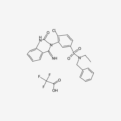 CCN(Cc1ccccc1)S(=O)(=O)c1ccc(Cl)c(-n2c(=O)[nH]c3ccccc3c2=N)c1.O=C(O)C(F)(F)F